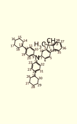 CC1(C)C2=C(C=CC(N(c3ccc(C4CCCCC4)cc3)c3ccc(C4CCCCC4)cc3)C2)c2ccccc21